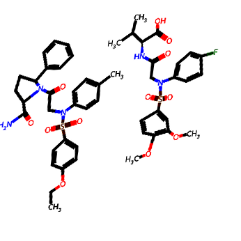 CCOc1ccc(S(=O)(=O)N(CC(=O)N2C(C(N)=O)CCC2c2ccccc2)c2ccc(C)cc2)cc1.COc1ccc(S(=O)(=O)N(CC(=O)N[C@H](C(=O)O)C(C)C)c2ccc(F)cc2)cc1OC